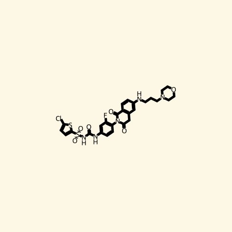 O=C(Nc1ccc(N2C(=O)Cc3cc(NCCCN4CCOCC4)ccc3C2=O)c(F)c1)NS(=O)(=O)c1ccc(Cl)s1